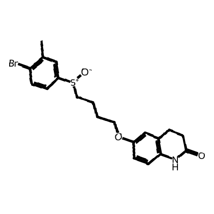 Cc1cc([S+]([O-])CCCCOc2ccc3c(c2)CCC(=O)N3)ccc1Br